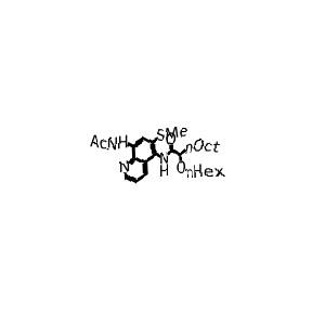 CCCCCCCCC(OCCCCCC)C(=O)Nc1c(SC)cc(NC(C)=O)c2ncccc12